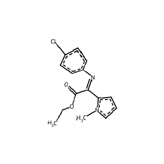 CCOC(=O)C(=Nc1ccc(Cl)cc1)c1cccn1C